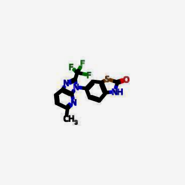 Cc1ccc2nc(C(F)(F)F)n(-c3ccc4[nH]c(=O)sc4c3)c2n1